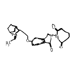 CCN1C2CCC(C2)C1COc1ccc2c(c1)CN(N1C(=O)CCCC1=O)C2=O